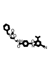 CC(C)c1cc(C#N)cc2nc(-c3ccc(C(=O)NC[C@@H]4CN(CC5C=CC=CC5)C(=O)O4)cc3)oc12